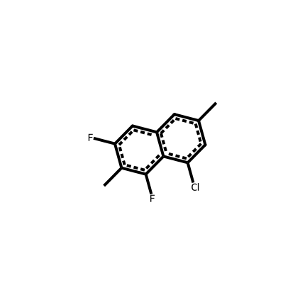 Cc1cc(Cl)c2c(F)c(C)c(F)cc2c1